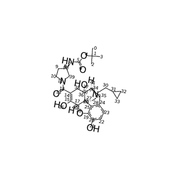 CC(C)(C)OC(=O)N[C@@H]1CCN(C(=O)C2=C(O)[C@@H]3Oc4c(O)ccc5c4[C@@]34CCN(CC3CC3)[C@H](C5)[C@]4(O)C2)C1